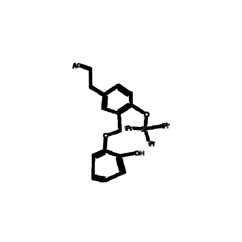 CC(=O)CCc1ccc(O[Si](C(C)C)(C(C)C)C(C)C)c(COc2ccccc2O)c1